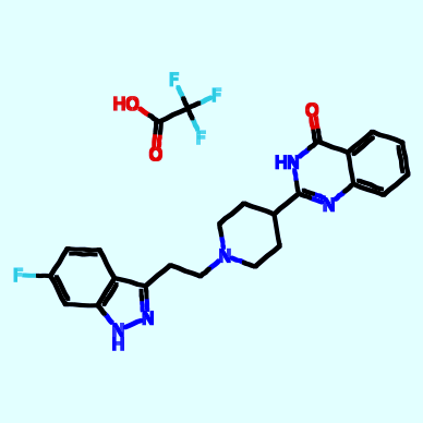 O=C(O)C(F)(F)F.O=c1[nH]c(C2CCN(CCc3n[nH]c4cc(F)ccc34)CC2)nc2ccccc12